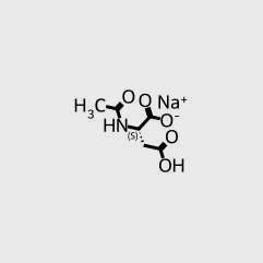 CC(=O)N[C@@H](CC(=O)O)C(=O)[O-].[Na+]